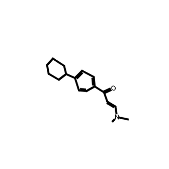 CN(C)C=CC(=O)c1ccc(C2CCCCC2)cc1